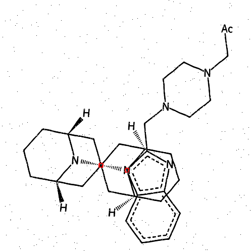 CC(=O)CN1CCN(Cc2nc3ccccc3n2[C@H]2C[C@H]3CCC[C@@H](C2)N3[C@H]2C[C@@H]3CCC[C@@H](C3)C2)CC1